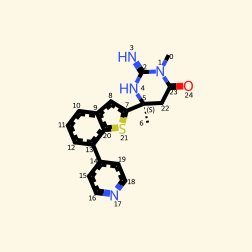 CN1C(=N)N[C@](C)(c2cc3cccc(-c4ccncc4)c3s2)CC1=O